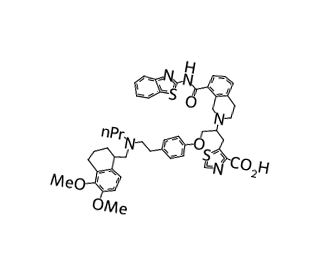 CCCN(CCc1ccc(OCC(Cc2scnc2C(=O)O)N2CCc3cccc(C(=O)Nc4nc5ccccc5s4)c3C2)cc1)CC1CCCc2c1ccc(OC)c2OC